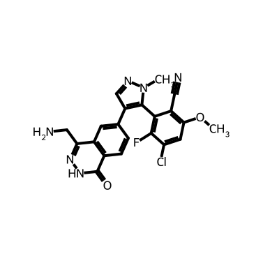 COc1cc(Cl)c(F)c(-c2c(-c3ccc4c(=O)[nH]nc(CN)c4c3)cnn2C)c1C#N